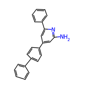 Nc1cc(-c2ccc(-c3ccccc3)cc2)cc(-c2ccccc2)n1